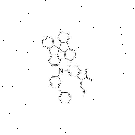 C=C/C=c1\c(=C)sc2ccc(N(c3cccc(-c4ccccc4)c3)c3ccc4c(c3)C3(c5ccccc5-c5ccccc53)c3ccccc3-4)cc12